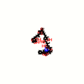 CCC(C(O)C/C=C(\C)C(O)CC(OC)C(C)C(=O)NC(C(=O)NC1C(=O)OC(c2ccccc2)C1C)C(C)C)C(O)C(C)/C=C/C=C/C1CC(OC)CC(CC/C(C)=C/C=C/C2COC(C)C(C)(O)C2O)(OC)O1